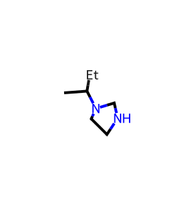 CCC(C)N1CCNC1